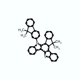 CC1(C)c2ccccc2-c2ccc(-n3c4ccccc4c4c5sc6ccccc6c5c5c(c43)-c3ccccc3C5(C)C)cc21